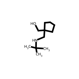 CC(C)(C)NCC1(CO)CCCC1